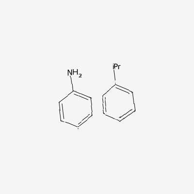 CC(C)c1ccccc1.Nc1cc[c]cc1